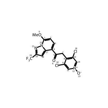 COc1ccc(C(=O)Cc2c(Cl)c[n+]([O-])cc2Cl)c2cc(C(F)(F)F)nn12